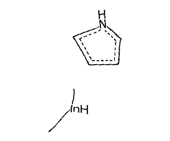 [CH3][InH][CH3].c1cc[nH]c1